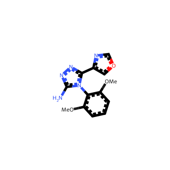 COc1cccc(OC)c1-n1c(N)nnc1-c1cocn1